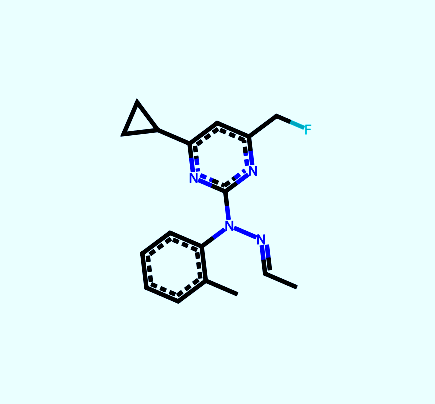 CC=NN(c1nc(CF)cc(C2CC2)n1)c1ccccc1C